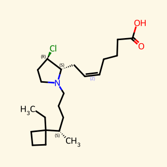 CCC1([C@@H](C)CCCN2CC[C@@H](Cl)[C@@H]2C/C=C\CCCC(=O)O)CCC1